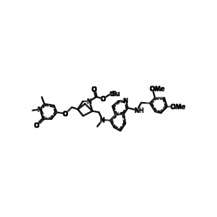 COc1ccc(CNc2nccc3c(N(C)CC45CC(COc6cc(C)n(C)c(=O)c6)(CN4C(=O)OC(C)(C)C)C5)cccc23)c(OC)c1